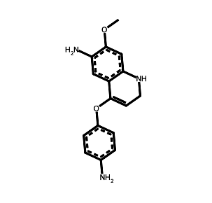 COc1cc2c(cc1N)C(Oc1ccc(N)cc1)=CCN2